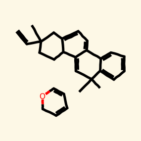 C1=CCOC=C1.C=CC1(C)CCC2C(=CC=C3C2=CC(C)(C)c2ccccc23)C1